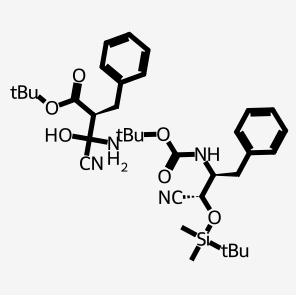 CC(C)(C)OC(=O)N[C@@H](Cc1ccccc1)[C@@H](C#N)O[Si](C)(C)C(C)(C)C.CC(C)(C)OC(=O)[C@@H](Cc1ccccc1)C(N)(O)C#N